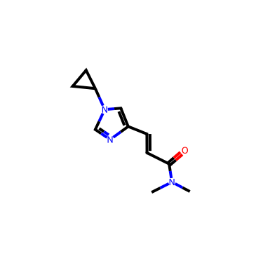 CN(C)C(=O)C=Cc1cn(C2CC2)cn1